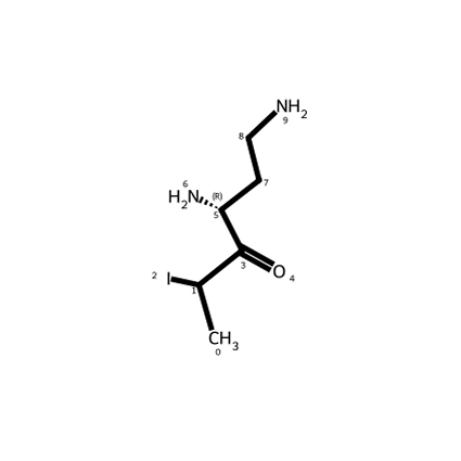 CC(I)C(=O)[C@H](N)CCN